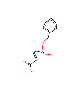 O=C(O)C=CC(=O)OCc1ccccc1